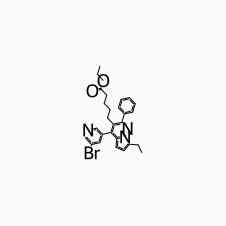 CCOC(=O)CCCCc1c(-c2ccccc2)nn2c(CC)ccc2c1-c1cncc(Br)c1